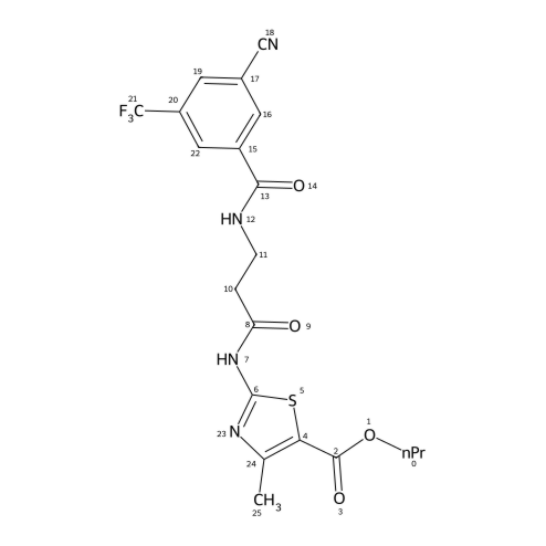 CCCOC(=O)c1sc(NC(=O)CCNC(=O)c2cc(C#N)cc(C(F)(F)F)c2)nc1C